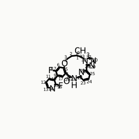 C[C@H]1CCOc2cc(F)c(-c3cccnc3F)cc2C(=O)Nc2cccc(n2)-c2nncn2C1